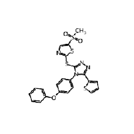 CS(=O)(=O)c1cnc(Sc2nnc(-c3cccs3)n2-c2ccc(Oc3ccccc3)cc2)s1